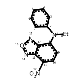 CCN(c1ccccc1)c1ccc([N+](=O)[O-])c2nonc12